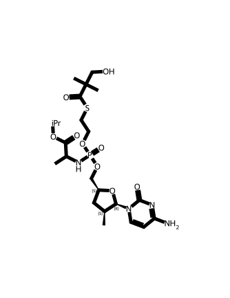 CC(C)OC(=O)C(C)NP(=O)(OCCSC(=O)C(C)(C)CO)OC[C@@H]1C[C@H](C)[C@H](n2ccc(N)nc2=O)O1